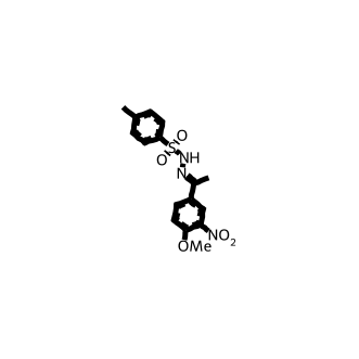 COc1ccc(C(C)=NNS(=O)(=O)c2ccc(C)cc2)cc1[N+](=O)[O-]